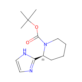 CC(C)(C)OC(=O)N1CCCC[C@H]1c1ncc[nH]1